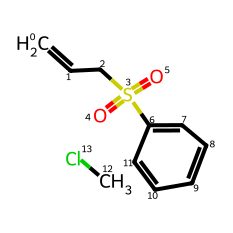 C=CCS(=O)(=O)c1ccccc1.CCl